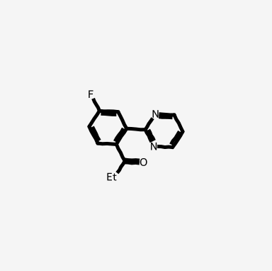 CCC(=O)c1ccc(F)cc1-c1ncccn1